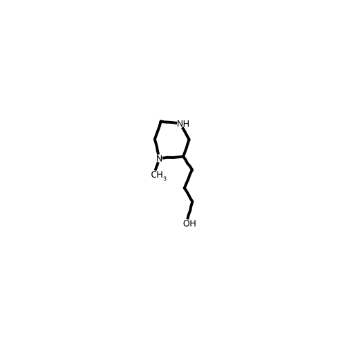 CN1CCNCC1CCCO